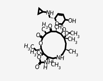 CC[C@H]1OC(=O)C(C)C(=O)[C@H](C)[C@@H](O[C@@H]2O[C@H](CNC3CC3)C=CC2O)[C@](C)(OC)C[C@@H](C)CN[C@H](C)[C@H]2NC(=O)O[C@@]21C